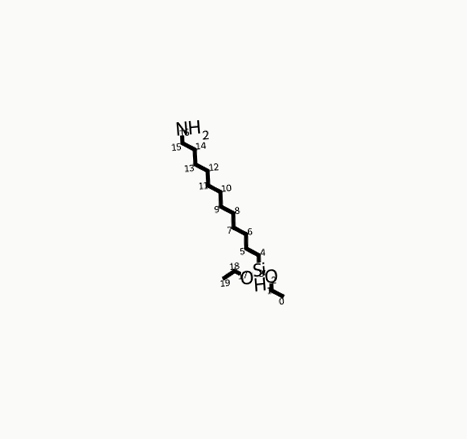 CCO[SiH](CCCCCCCCCCCCN)OCC